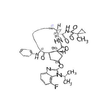 CC(C)n1c(O[C@H]2CC3C(=O)[C@@H](Nc4ccccc4)CCCCC/C=C\[C@@H]4C[C@@]4(C(=O)NS(=O)(=O)C4(C)CC4)NC(=O)[C@@H]3C2)nc2cccc(F)c21